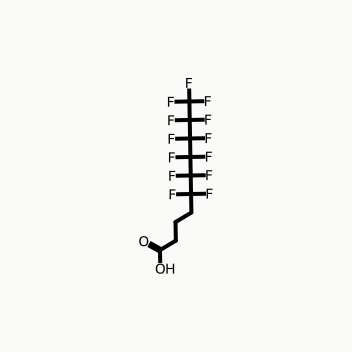 O=C(O)CCCC(F)(F)C(F)(F)C(F)(F)C(F)(F)C(F)(F)C(F)(F)F